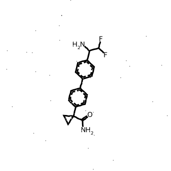 NC(=O)C1(c2ccc(-c3ccc(C(N)C(F)F)cc3)cc2)CC1